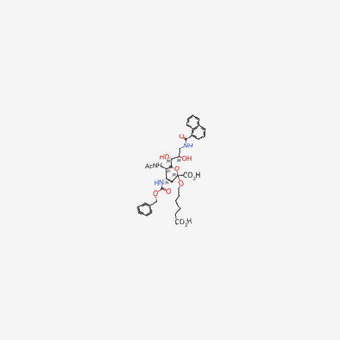 CC(=O)N[C@H]1[C@H]([C@H](O)[C@H](O)CNC(=O)c2cccc3ccccc23)O[C@@](OCCCCCC(=O)O)(C(=O)O)C[C@@H]1NC(=O)OCc1ccccc1